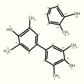 Cc1cc(-c2cc(C)c(O)c(C)c2)cc(C)c1O.Cc1ccccc1O